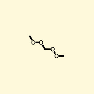 COOCOOC